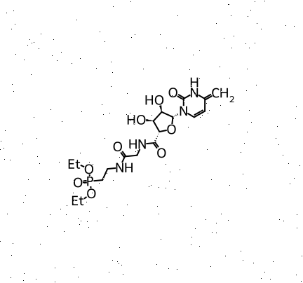 C=C1C=CN([C@@H]2O[C@H](C(=O)NCC(=O)NCCP(=O)(OCC)OCC)[C@@H](O)[C@H]2O)C(=O)N1